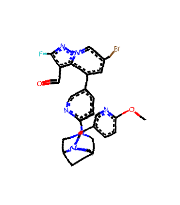 COc1ccc(CN2C3CC2CN(c2ccc(-c4cc(Br)cn5nc(F)c(C=O)c45)cn2)C3)cn1